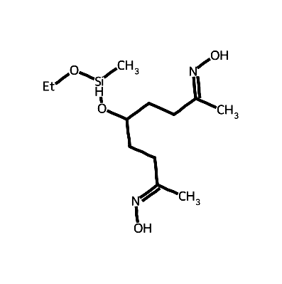 CCO[SiH](C)OC(CCC(C)=NO)CCC(C)=NO